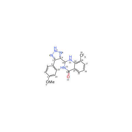 COc1ccc(-c2n[nH]nc2C2NC(=O)c3cccc(C(F)(F)F)c3N2)cc1